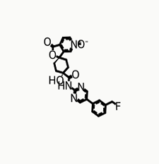 O=C1O[C@]2(CC[C@](O)(C(=O)Nc3ncc(-c4cccc(CF)c4)cn3)CC2)c2c[n+]([O-])ccc21